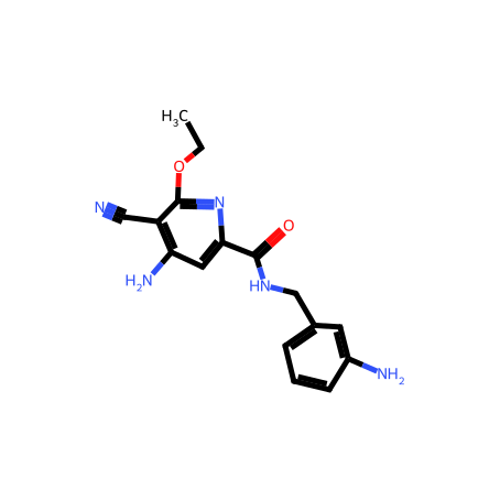 CCOc1nc(C(=O)NCc2cccc(N)c2)cc(N)c1C#N